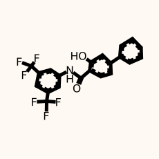 O=C(Nc1cc(C(F)(F)F)cc(C(F)(F)F)c1)c1ccc(-c2ccccc2)cc1O